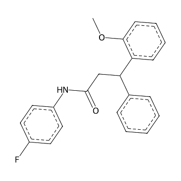 COc1ccccc1C(CC(=O)Nc1ccc(F)cc1)c1ccccc1